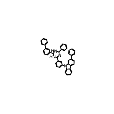 c1ccc(-c2cccc(C3NC(c4cccc(-n5c6ccccc6c6ccc(-c7ccccc7)cc65)c4)=NC(c4ccccc4)N3)c2)cc1